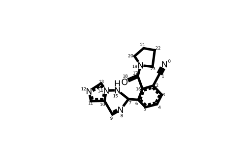 N#Cc1cccc(C2N=Cc3cncn3N2)c1C(=O)N1CCCC1